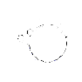 C[C@@H]1[C@H](O)[C@@H](C)/C=C/C=C/CC/C=C/C=C/C=C/C=C/[C@H](O[C@@H]2O[C@H](C)[C@@H](O)[C@H](N)[C@@H]2O)CC2O[C@](O)(C[C@@H](O)[C@H](O)CC[C@@H](O)C[C@@H](O)C[C@@H](O)CC(=O)O[C@H]1C)C[C@H](O)[C@H]2C(=O)O